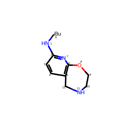 CCC(C)Nc1ccc2c(n1)OCCNC2